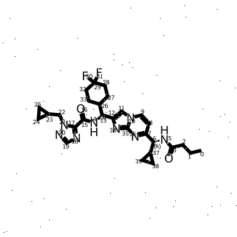 CCCC(=O)N[C@@H](c1ccn2cc([C@@H](NC(=O)c3ncnn3CC3CC3)C3CCC(F)(F)CC3)nc2n1)C1CC1